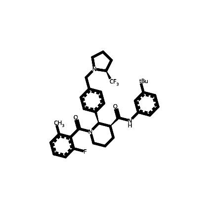 Cc1cccc(F)c1C(=O)N1CCC[C@H](C(=O)Nc2cccc(C(C)(C)C)c2)[C@@H]1c1ccc(CN2CCC[C@H]2C(F)(F)F)cc1